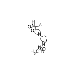 Cc1noc(N2CC3CCC(N4CCC5(CC4)OC(=O)NC5C4CC4)CC2C3)n1